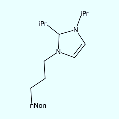 CCCCCCCCCCCCN1C=CN(C(C)C)C1C(C)C